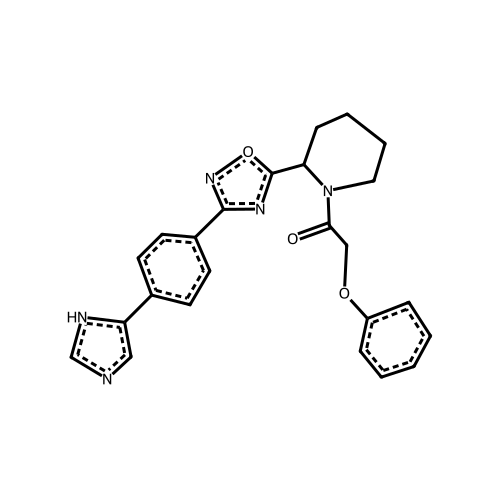 O=C(COc1ccccc1)N1CCCCC1c1nc(-c2ccc(-c3cnc[nH]3)cc2)no1